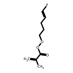 C=C(C)C(=O)OOCCCC=CF